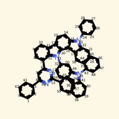 c1ccc(-c2cc(-c3cccc4c5ccc6c(c7ccccc7n6-c6ccccc6)c5n(-c5ccc6c7ccccc7n(-c7ccccc7)c6c5)c34)nc(-c3ccccc3)n2)cc1